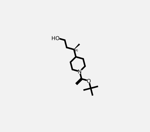 C=C(OC(C)(C)C)N1CCC([C@H](C)CCO)CC1